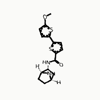 COc1ccc(-c2ccc(C(=O)N[C@@H]3C[C@H]4CC[C@@H]3N4)s2)s1